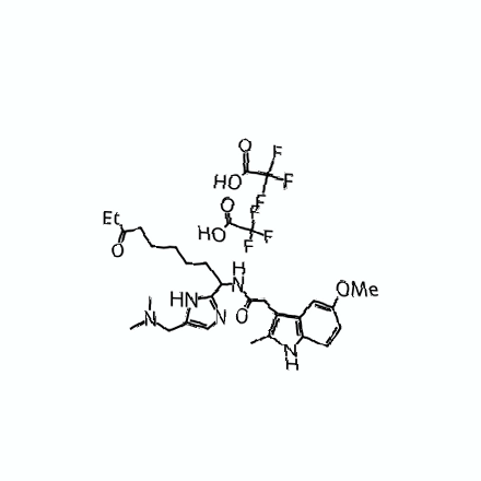 CCC(=O)CCCCCC(NC(=O)Cc1c(C)[nH]c2ccc(OC)cc12)c1ncc(CN(C)C)[nH]1.O=C(O)C(F)(F)F.O=C(O)C(F)(F)F